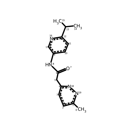 Cc1ccc(CC(=O)Nc2ccc(C(C)C)nc2)nn1